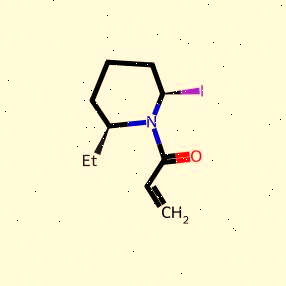 C=CC(=O)N1[C@@H](CC)CCC[C@H]1I